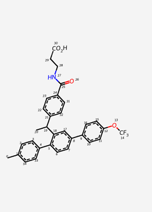 Cc1ccc(-c2ccc(-c3ccc(OC(F)(F)F)cc3)cc2C(C)c2ccc(C(=O)NCCC(=O)O)cc2)cc1